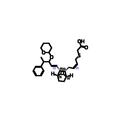 CC(c1ccccc1)C(/C=C/[C@@H]1[C@H](C/C=C\CSCC(=O)O)[C@@H]2CC[C@H]1O2)OC1CCCCO1